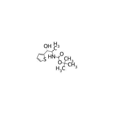 C[C@@H](NC(=O)OC(C)(C)C)[C@@H](O)c1cccs1